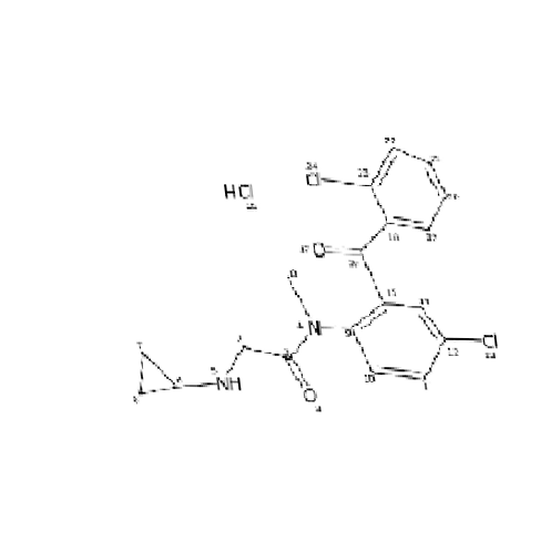 CN(C(=O)CNC1CC1)c1ccc(Cl)cc1C(=O)c1ccccc1Cl.Cl